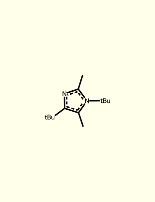 Cc1nc(C(C)(C)C)c(C)n1C(C)(C)C